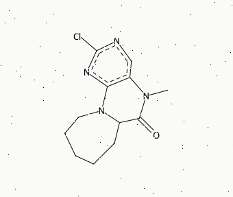 CN1C(=O)C2CCCCCN2c2nc(Cl)ncc21